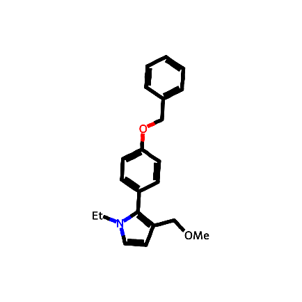 CCn1ccc(COC)c1-c1ccc(OCc2ccccc2)cc1